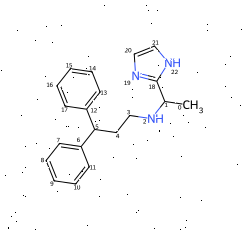 CC(NCCC(c1ccccc1)c1ccccc1)c1ncc[nH]1